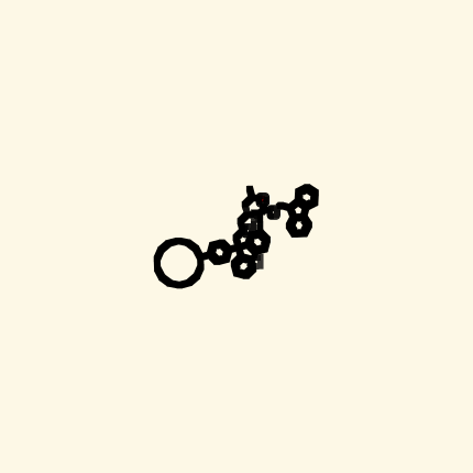 CC(C)C[C@H](CC(=O)CC(c1ccccc1)(c1ccc(C2CCCCCCCCCCCCC2)cc1)c1ccccc1Cl)NC(=O)OCC1c2ccccc2-c2ccccc21